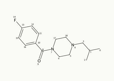 C[C](C)CN1CCN(C(=O)c2ccc(F)cc2)CC1